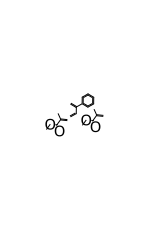 C=C(C)C(=O)OC.C=C(C)C(=O)OC.C=CC(=C)c1ccccc1